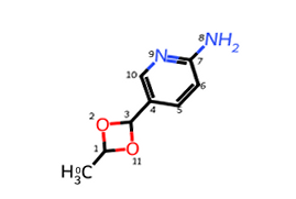 CC1OC(c2ccc(N)nc2)O1